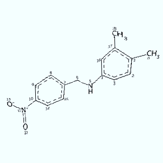 Cc1ccc(NCc2ccc([N+](=O)[O-])cc2)cc1C